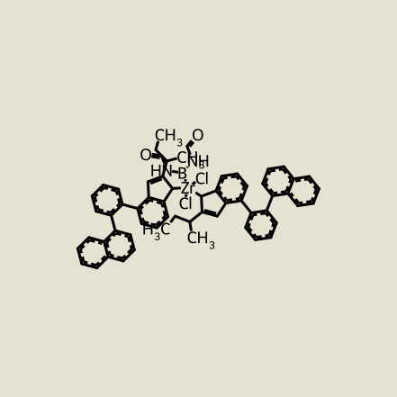 CCC(C)C1=Cc2c(-c3ccccc3-c3cccc4ccccc34)cccc2[CH]1[Zr]([Cl])([Cl])([B](NC=O)NC=O)[CH]1C(C(C)CC)=Cc2c(-c3ccccc3-c3cccc4ccccc34)cccc21